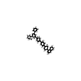 c1ccc(-c2cc(-c3ccccn3)nc(-c3ccc(-c4ccc(-c5ccc(-c6cccc7ccccc67)cc5)cc4)cn3)c2)cc1